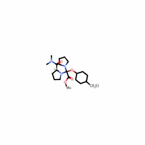 CCOC(=O)C1CCC(OC(C(=O)OC(C)(C)C)(N2CCCC2)N2CCC[C@H]2C(=O)N(C)C)CC1